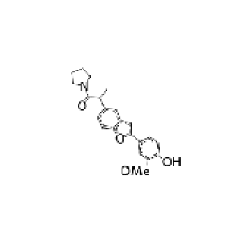 COc1cc(-c2cc3cc(C(C)C(=O)N4CCCC4)ccc3o2)ccc1O